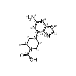 CC1CN(c2nc(N)nc3scnc23)CCN1C(=O)O